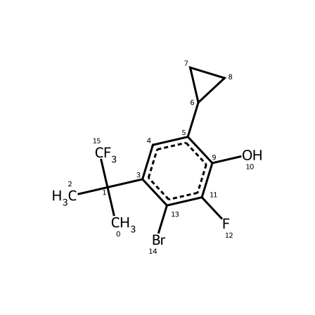 CC(C)(c1cc(C2CC2)c(O)c(F)c1Br)C(F)(F)F